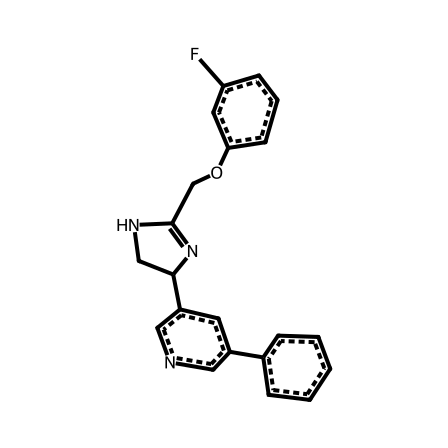 Fc1cccc(OCC2=NC(c3cncc(-c4ccccc4)c3)CN2)c1